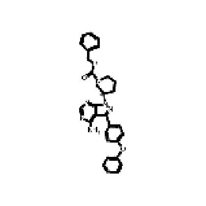 Nc1ncnc2c1c(-c1ccc(Oc3ccccc3)cc1)nn2[C@@H]1CCCN(C(=O)OCc2ccccc2)C1